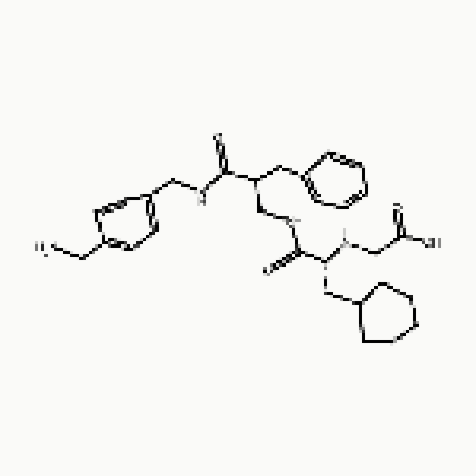 NCc1ccc(CNC(=O)[C@H](CNC(=O)[C@@H](CC2CCCCC2)NCC(=O)O)Cc2ccccc2)cc1